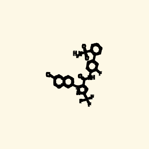 NS(=O)(=O)c1ccccc1-c1ccc(NC(=O)c2cc(C(F)(F)F)nn2-c2ccc3cc(Cl)ccc3c2)c(F)c1